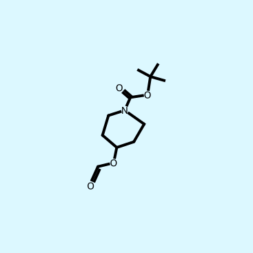 CC(C)(C)OC(=O)N1CCC(OC=O)CC1